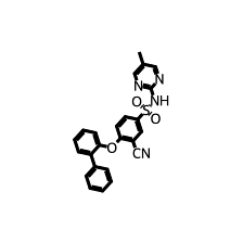 Cc1cnc(NS(=O)(=O)c2ccc(Oc3ccccc3-c3ccccc3)c(C#N)c2)nc1